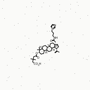 C=C(C)[C@@H]1CC[C@]2(CC(=O)NCCCn3ccnc3)CC[C@]3(C)[C@H](CC[C@@H]4[C@@]5(C)CC[C@H](OC(=O)CC(C)(C)CC(=O)O)C(C)(C)[C@@H]5CC[C@]43C)[C@@H]12